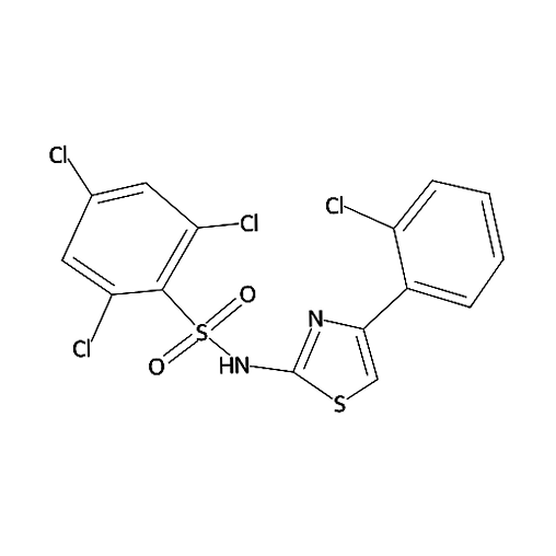 O=S(=O)(Nc1nc(-c2ccccc2Cl)cs1)c1c(Cl)cc(Cl)cc1Cl